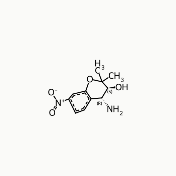 CC1(C)Oc2cc([N+](=O)[O-])ccc2[C@@H](N)[C@@H]1O